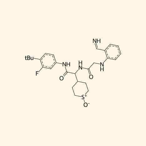 CC(C)(C)c1ccc(NC(=O)C(NC(=O)CNc2ccccc2C=N)C2CC[S+]([O-])CC2)cc1F